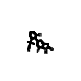 CC(C)(C#N)c1cccc(Cl)c1-c1cc(F)c2c(c1)CC(=O)N2